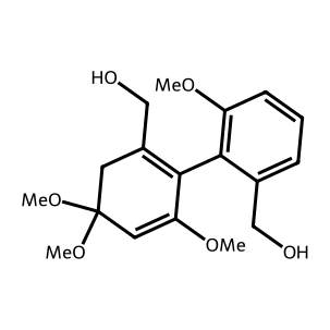 COC1=CC(OC)(OC)CC(CO)=C1c1c(CO)cccc1OC